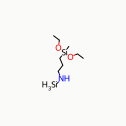 CCO[Si](C)(CCCN[SiH3])OCC